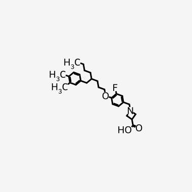 CCCCC(CCCOc1ccc(CN2CC(C(=O)O)C2)cc1F)Cc1ccc(C)c(C)c1